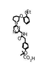 CCOc1ccccc1OC1CCCN(c2cncc(NC(=O)Cc3ccc(OC(C)(C)C(=O)O)cc3)n2)C1